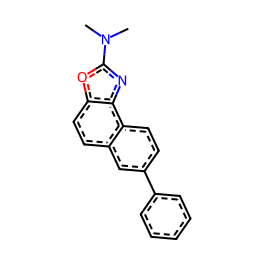 CN(C)c1nc2c(ccc3cc(-c4ccccc4)ccc32)o1